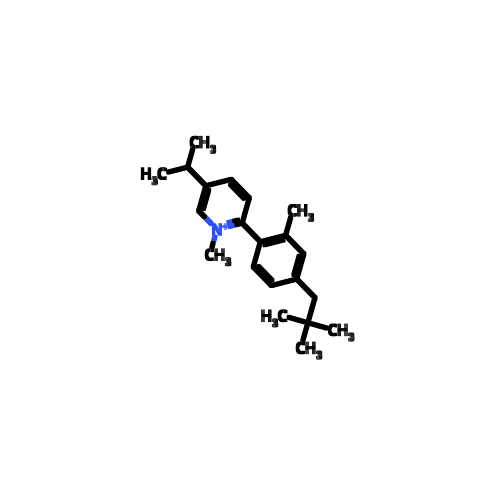 Cc1cc(CC(C)(C)C)ccc1-c1ccc(C(C)C)c[n+]1C